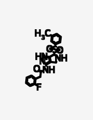 Cc1cccc(S(=O)(=O)C2NCc3c(NC(=O)Cc4ccccc4F)n[nH]c32)c1